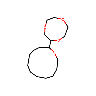 C1CCCCC[C](C2COCCOCCO2)OCCCC1